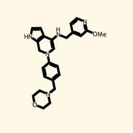 COc1cc(CNC2=CN(c3ccc(CN4CCOCC4)cc3)Cc3[nH]ccc32)ccn1